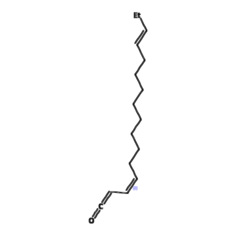 CCC=CCCCCCCCC/C=C\C=C=O